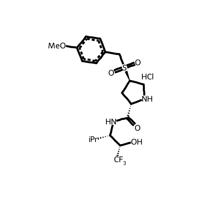 COc1ccc(CS(=O)(=O)[C@H]2CN[C@H](C(=O)N[C@@H](C(C)C)[C@H](O)C(F)(F)F)C2)cc1.Cl